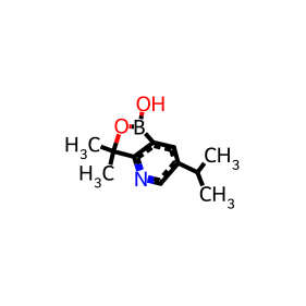 CC(C)c1cnc2c(c1)B(O)OC2(C)C